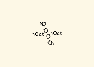 CCCCCCCCc1cc(-c2cccnc2)ccc1-c1ccc(-c2cccnc2)cc1CCCCCCCC